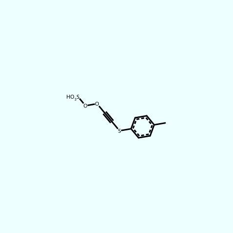 Cc1ccc(SC#COOS(=O)(=O)O)cc1